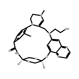 CN1C=C2CN(CCO)c3cc(c4nccnc4c3)O[C@H]3CC[C@H](CC3)NC(=O)c3ccc(c(F)c3)N2CC1